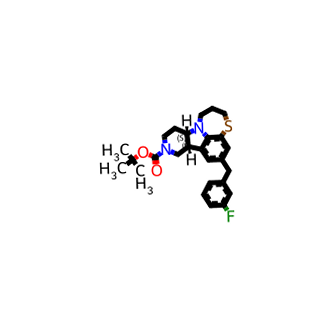 CC(C)(C)OC(=O)N1CC[C@H]2[C@@H](C1)c1cc(Cc3cccc(F)c3)cc3c1N2CCCS3